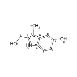 Cc1c(CO)[nH]c2ccc(O)cc12